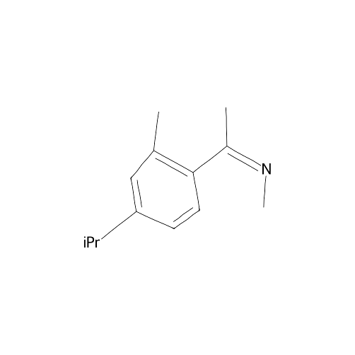 C/N=C(/C)c1ccc(C(C)C)cc1C